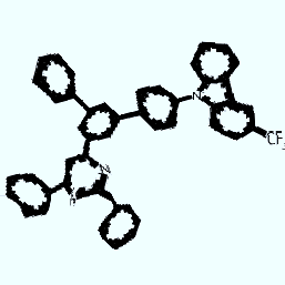 FC(F)(F)c1ccc2c(c1)c1ccccc1n2-c1ccc(-c2cc(-c3ccccc3)cc(-c3cc(-c4ccccc4)nc(-c4ccccc4)n3)c2)cc1